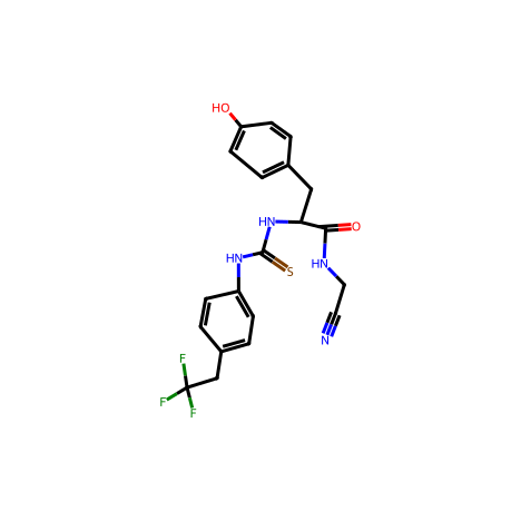 N#CCNC(=O)C(Cc1ccc(O)cc1)NC(=S)Nc1ccc(CC(F)(F)F)cc1